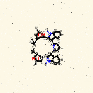 Cc1cc2c(O)c(c1)C(C)(C)CC(C)(C)c1cc(C)cc(c1O)-c1c(c3ccccc3n1C)-c1cccc(n1)-c1c-2n(C)c2ccccc12